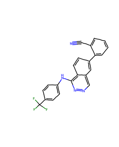 N#Cc1ccccc1-c1ccc2c(Nc3ccc(C(F)(F)F)cc3)nncc2c1